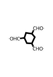 O=[C]C1CC([C]=O)CC([C]=O)C1